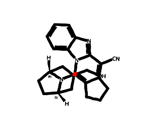 N#Cc1c2c(c(N3[C@@H]4CC[C@H]3CC(CO)C4)n3c1nc1ccccc13)CCC2